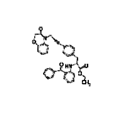 CCOC(=O)[C@H](Cc1ccc(C#CCN2C(=O)COc3ccccc32)cc1)Nc1ccccc1C(=O)c1ccccc1